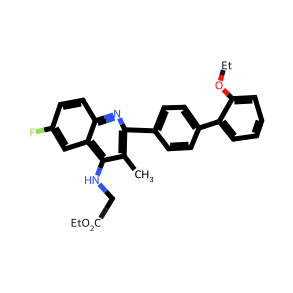 CCOC(=O)CNc1c(C)c(-c2ccc(-c3ccccc3OCC)cc2)nc2ccc(F)cc12